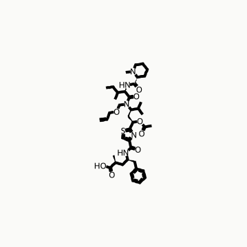 C=CCOCN(C(=O)[C@@H](NC(=O)[C@H]1CCCCN1C)C(C)CC)[C@H](C[C@@H](OC(C)=O)c1nc(C(=O)N[C@@H](Cc2ccccc2)C[C@H](C)C(=O)O)cs1)C(C)C